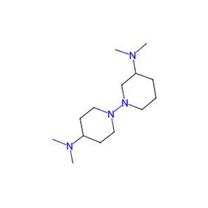 CN(C)C1CCN(N2CCCC(N(C)C)C2)CC1